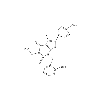 COc1ccc(-c2sc3c(c2C)c(=O)n(CC(=O)O)c(=O)n3Cc2ccccc2SC)cc1